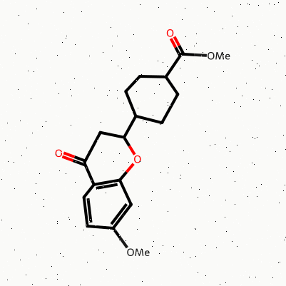 COC(=O)C1CCC(C2CC(=O)c3ccc(OC)cc3O2)CC1